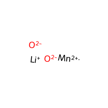 [Li+].[Mn+2].[O-2].[O-2]